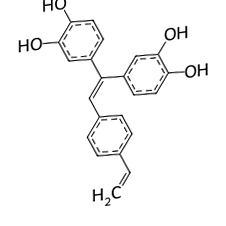 C=Cc1ccc(C=C(c2ccc(O)c(O)c2)c2ccc(O)c(O)c2)cc1